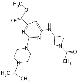 COC(=O)c1cc(NC2CN(C(C)=O)C2)nc(N2CCN(C(C)C)CC2)n1